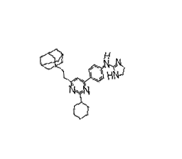 c1cc(-c2cc(CCC34CC5CC(CC(C5)C3)C4)nc(C3CCCCC3)n2)ccc1NC1=NCCN1